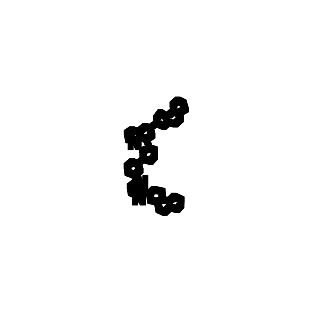 c1cc(-c2cccc(-c3cc(-c4ccc5c(ccc6ccccc65)c4)cc4cccnc34)c2)cc(-c2ccnc(-c3ccc4c(ccc5ccccc54)c3)n2)c1